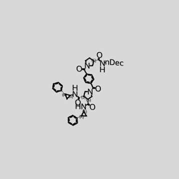 CCCCCCCCCCNC(=O)[C@H]1CCN(C(=O)c2ccc(C(=O)N3C[C@@H](C(=O)N[C@H]4C[C@@H]4c4ccccc4)[C@H](C(=O)N[C@H]4C[C@@H]4c4ccccc4)C3)cc2)C1